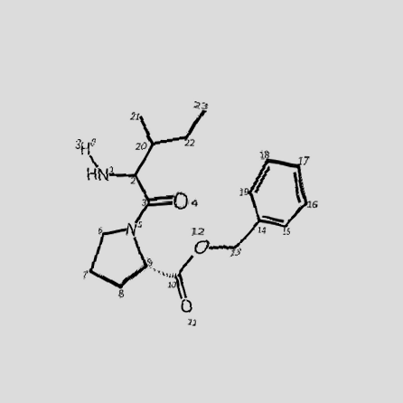 [3H]NC(C(=O)N1CCC[C@H]1C(=O)OCc1ccccc1)C(C)CC